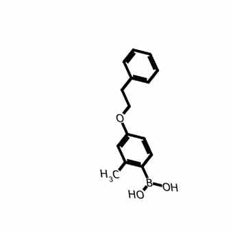 Cc1cc(OCCc2ccccc2)ccc1B(O)O